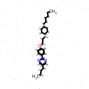 CCCCCC[C@H]1CC[C@H](CCCOc2ccc(-c3ncc(CCCC)cn3)cc2)CC1